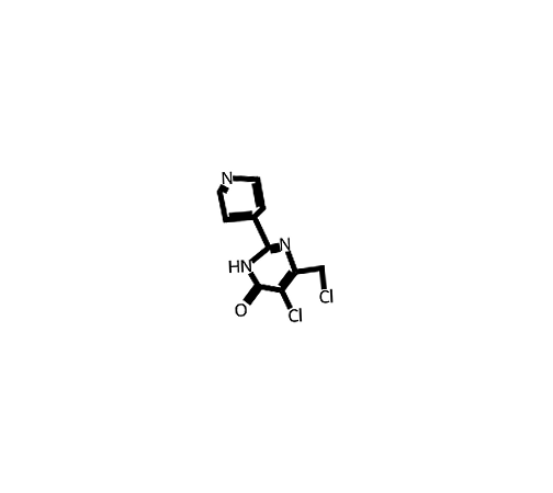 O=c1[nH]c(-c2ccncc2)nc(CCl)c1Cl